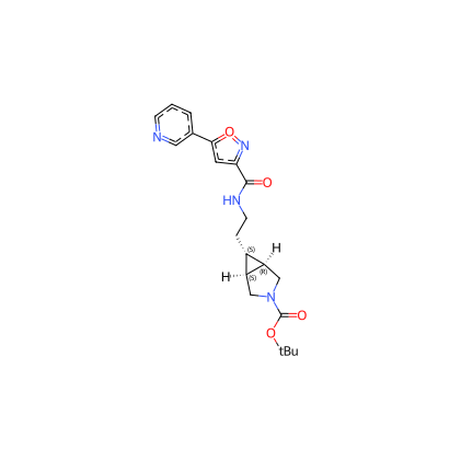 CC(C)(C)OC(=O)N1C[C@@H]2[C@@H](CCNC(=O)c3cc(-c4cccnc4)on3)[C@@H]2C1